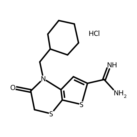 Cl.N=C(N)c1cc2c(s1)SCC(=O)N2CC1CCCCC1